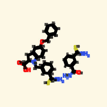 NC(=O)c1cccc(C(N)=S)c1.NC(=S)c1cccc(CN2c3ccc(OCc4ccccc4)cc3CC2C(=O)O)c1